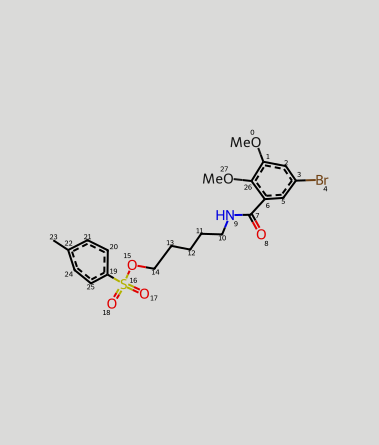 COc1cc(Br)cc(C(=O)NCCCCCOS(=O)(=O)c2ccc(C)cc2)c1OC